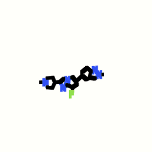 CN1CCC(c2cn3cc(-c4ccc5nn(C)cc5c4)cc(F)c3n2)CC1